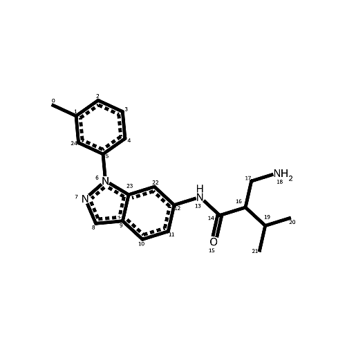 Cc1cccc(-n2ncc3ccc(NC(=O)C(CN)C(C)C)cc32)c1